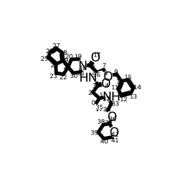 CC(CC(=O)N[C@H](COCc1ccccc1)C(=O)N1CCC2(CCc3ccccc32)CC1)NC[C@@H](C)OC1CCCCO1